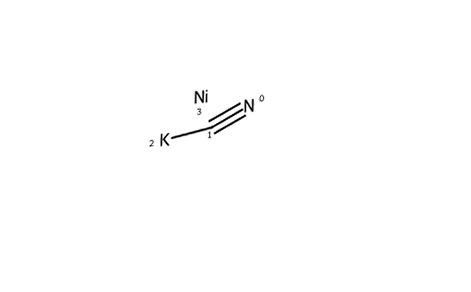 N#[C][K].[Ni]